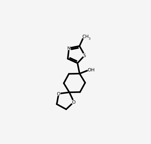 Cc1ncc(C2(O)CCC3(CC2)OCCO3)s1